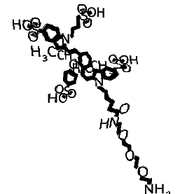 CC1(C)C(/C=C/C2=C(Oc3ccc(S(=O)(=O)O)cc3)C(=C/C=C3/N(CCCCCC(=O)NCCOCCOCCOCCN)c4ccc(S(=O)(=O)O)cc4C3(C)C)/CCC2)=[N+](CCCCS(=O)(=O)O)c2ccc(S(=O)(=O)O)cc21